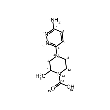 CC1CN(c2ccc(N)nn2)CCN1C(=O)O